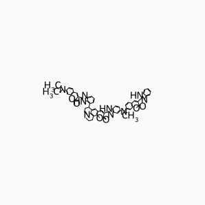 CCN(CC)c1ccc2cc(-c3nc4cccc(C5CCN6CCCc7c6c5cc5cc(-c6nc8cc(N(C)c9ccc%10cc(-c%11nc%12ccccc%12[nH]%11)c(=O)oc%10c9)ccc8[nH]6)c(=O)oc75)c4[nH]3)c(=O)oc2c1